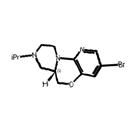 CC(C)N1CCN2c3ncc(Br)cc3OC[C@@H]2C1